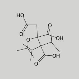 CC(C)OC(CC(=O)O)(C(=O)O)C(C(=O)O)(C(C)C)C(C)C